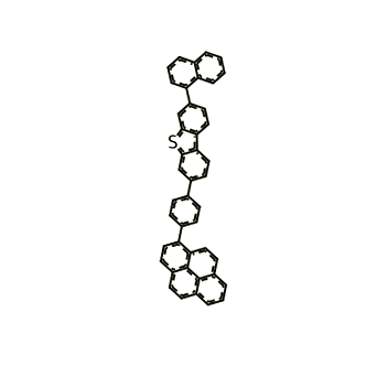 c1ccc2c(-c3ccc4c(c3)sc3cc(-c5ccc(-c6ccc7ccc8cccc9ccc6c7c89)cc5)ccc34)cccc2c1